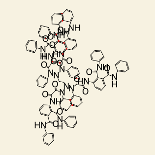 O=C(Nc1cccc(C(=O)Nc2ccccc2)c1C(=O)Nc1ccccc1)C(=O)N(c1ccccc1)N(CCN(N(C(=O)C(=O)Nc1cccc(C(=O)Nc2ccccc2)c1C(=O)Nc1ccccc1)c1ccccc1)N(C(=O)C(=O)Nc1cccc(C(=O)Nc2ccccc2)c1C(=O)Nc1ccccc1)c1ccccc1)N(C(=O)C(=O)Nc1cccc(C(=O)Nc2ccccc2)c1C(=O)Nc1ccccc1)c1ccccc1